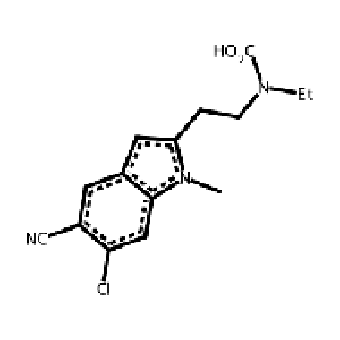 CCN(CCc1cc2cc(C#N)c(Cl)cc2n1C)C(=O)O